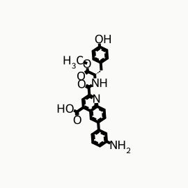 COC(=O)[C@H](Cc1ccc(O)cc1)NC(=O)c1cc(C(=O)O)c2cc(-c3cccc(N)c3)ccc2n1